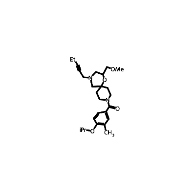 CCC#CCN1CC(COC)OC2(CCN(C(=O)c3ccc(OC(C)C)c(C)c3)CC2)C1